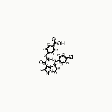 Cc1nn2c(c1C(=O)NCc1ccc(C(=O)O)cc1)N(Cc1ccc(Cl)cc1)CC2